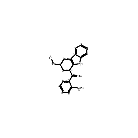 CCNC1Cc2c([nH]c3ccccc23)C(C(=O)c2ccccc2OC)C1